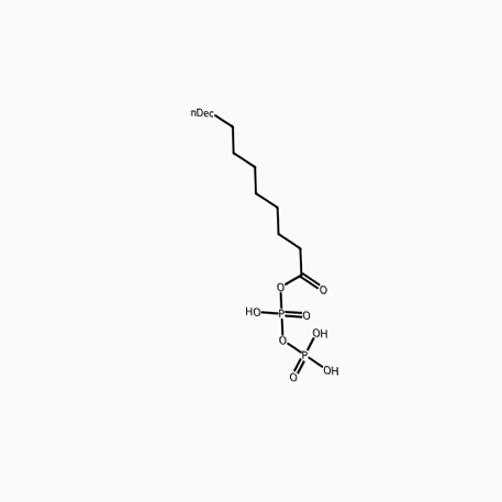 CCCCCCCCCCCCCCCCCC(=O)OP(=O)(O)OP(=O)(O)O